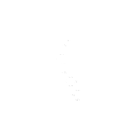 CCCNC(=O)c1ccc(N2CCC(OC3CCN(C(C)C)CC3)CC2)cn1